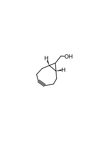 OCC1[C@H]2CCC#CCC[C@@H]12